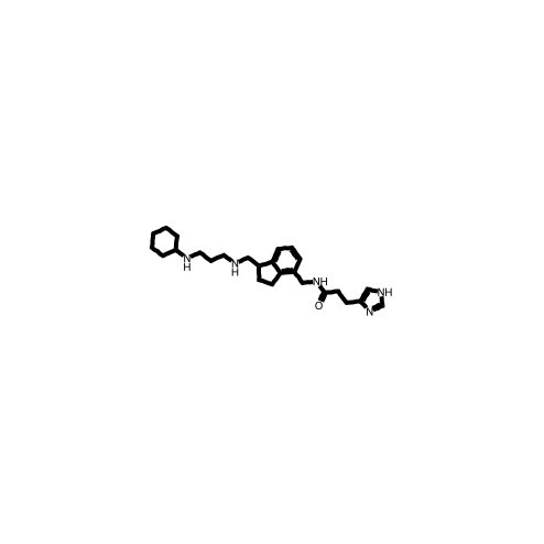 O=C(CCc1c[nH]cn1)NCc1cccc2c1CCC2CNCCCNC1CCCCC1